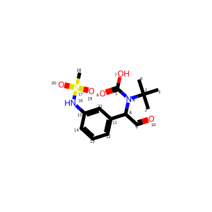 CC(C)(C)N(C(=O)O)C([C]=O)c1cccc(NS(C)(=O)=O)c1